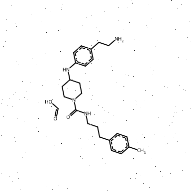 Cc1ccc(CCCNC(=O)N2CCC(Nc3ccc(CCN)cc3)CC2)cc1.O=CO